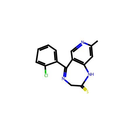 Cc1cc2c(cn1)C(c1ccccc1Cl)=NCC(=S)N2